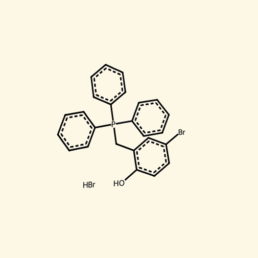 Br.Oc1ccc(Br)cc1C[P](c1ccccc1)(c1ccccc1)c1ccccc1